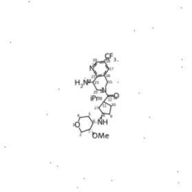 CO[C@@H]1COCC[C@@H]1N[C@@H]1CC[C@@](C(=O)N2Cc3cc(C(F)(F)F)cnc3[C@H](N)C2)(C(C)C)C1